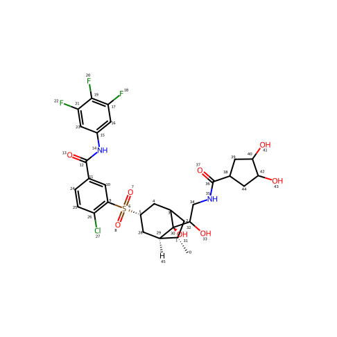 C[C@H]1CC2C[C@@H](S(=O)(=O)c3cc(C(=O)Nc4cc(F)c(F)c(F)c4)ccc3Cl)C[C@H]1[C@@]2(O)C(O)CNC(=O)C1CC(O)C(O)C1